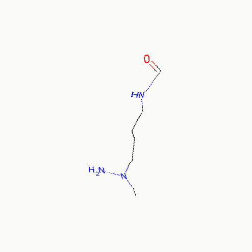 CN(N)CCCNC=O